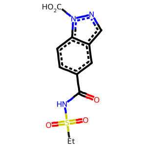 CCS(=O)(=O)NC(=O)c1ccc2c(cnn2C(=O)O)c1